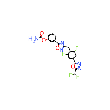 NC(=O)Oc1cccc(-c2nc(Cc3c(F)cc(-c4nnc(C(F)F)o4)cc3F)no2)c1